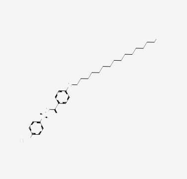 CCCCCCCCCCCCCCCCNc1ccc(C(=O)NS(=O)(=O)c2ccc(C)cc2)cc1